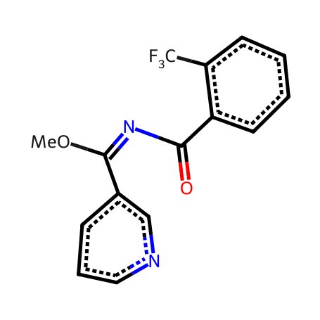 COC(=NC(=O)c1ccccc1C(F)(F)F)c1cccnc1